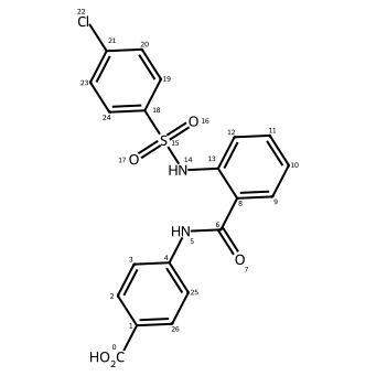 O=C(O)c1ccc(NC(=O)c2ccccc2NS(=O)(=O)c2ccc(Cl)cc2)cc1